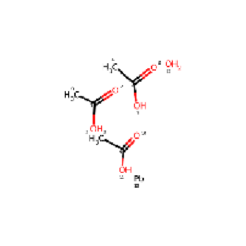 CC(=O)O.CC(=O)O.CC(=O)O.O.[Pb]